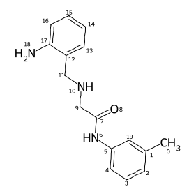 Cc1cccc(NC(=O)CNCc2ccccc2N)c1